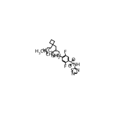 C[C@@H](N)[C@H](CNc1cc(F)c(S(=O)(=O)Nc2ncns2)cc1F)CC1(CCN(C)C)CCC1